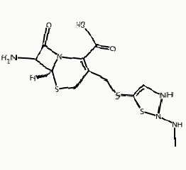 CNN1NC=C(SCC2=C(C(=O)O)N3C(=O)C(N)[C@H]3SC2)S1